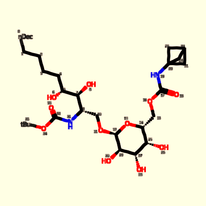 CCCCCCCCCCCCCC[C@@H](O)[C@@H](O)[C@H](CO[C@H]1O[C@H](COC(=O)NC23CC(C2)C3)[C@H](O)[C@H](O)[C@H]1O)NC(=O)OC(C)(C)C